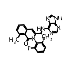 Cc1cccc2cc(C(C)Nc3ncnc4[nH]cnc34)n(-c3c(F)cccc3F)c(=O)c12